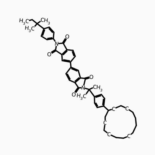 CCC(C)(C)c1ccc(N2C(=O)c3ccc(-c4ccc5c(c4)C(=O)N(C(C)(C)c4ccc(C6CCCCCCCCCCCCCC6)cc4)C5=O)cc3C2=O)cc1